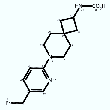 CC(C)Cc1ccc(N2CCC3(CC2)CC(NC(=O)O)C3)nc1